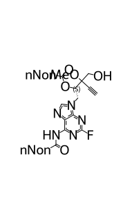 C#CC(CO)(OC)[C@H](Cn1cnc2c(NC(=O)CCCCCCCCC)nc(F)nc21)OC(=O)CCCCCCCCC